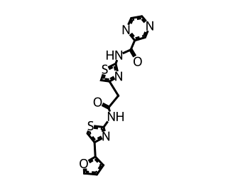 O=C(Cc1csc(NC(=O)c2cnccn2)n1)Nc1nc(-c2ccco2)cs1